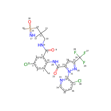 Cc1cc(Cl)cc(C(=O)NCC(C)(C)CS(C)(=N)=O)c1NC(=O)c1cc(C(F)(F)F)nn1-c1ncccc1Cl